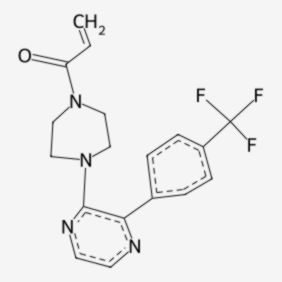 C=CC(=O)N1CCN(c2nccnc2-c2ccc(C(F)(F)F)cc2)CC1